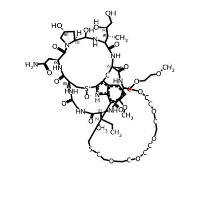 CC[C@H](C)[C@@H]1NC(=O)CC2(COCCOC)COCCOCCOCCOCCOCCSCc3c(OC)ccc4c5c([nH]c34)[S+]([O-])C[C@H](NC(=O)CNC1=O)C(=O)N[C@@H](CC(N)=O)C(=O)N1C[C@H](O)C[C@H]1C(O)NC([C@@H](C)[C@@H](O)CO)C(=O)N[C@@H](C5)C(=O)N2